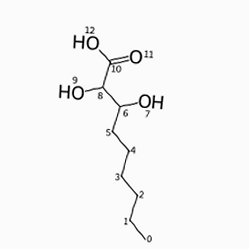 CCCCCCC(O)C(O)C(=O)O